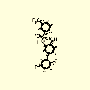 O=S(=O)(Nc1cc(-c2cc(F)ccc2F)ccc1O)c1cccc(C(F)(F)F)c1